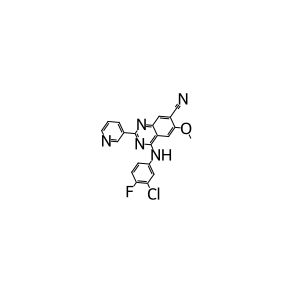 COc1cc2c(Nc3ccc(F)c(Cl)c3)nc(-c3cccnc3)nc2cc1C#N